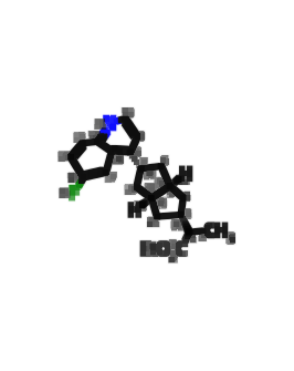 CCOC(=O)C(C)[C@@H]1C[C@H]2C[C@@H](c3ccnc4ccc(F)cc34)C[C@H]2C1